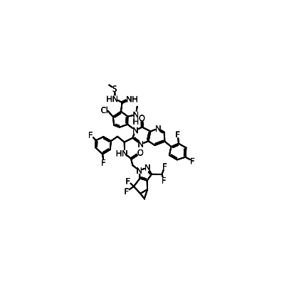 CNc1c(-n2c(C(Cc3cc(F)cc(F)c3)NC(=O)Cn3nc(C(F)F)c4c3C(F)(F)C3CC43)nc3cc(-c4ccc(F)cc4F)cnc3c2=O)ccc(Cl)c1C(=N)NSC